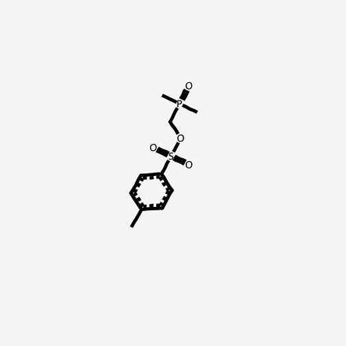 Cc1ccc(S(=O)(=O)OCP(C)(C)=O)cc1